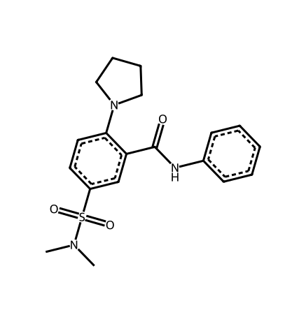 CN(C)S(=O)(=O)c1ccc(N2CCCC2)c(C(=O)Nc2ccccc2)c1